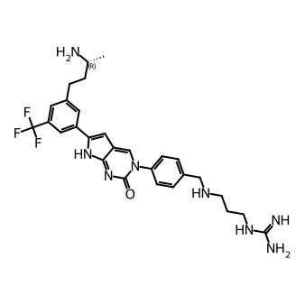 C[C@@H](N)CCc1cc(-c2cc3cn(-c4ccc(CNCCCNC(=N)N)cc4)c(=O)nc3[nH]2)cc(C(F)(F)F)c1